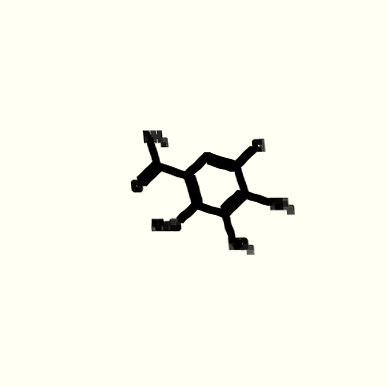 COc1c(C(N)=O)cc(Cl)c(N)c1[N+](=O)[O-]